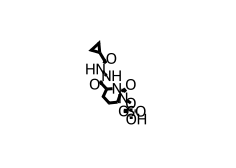 O=C(NNC(=O)C1CCC2CN1C(=O)N2OS(=O)(=O)O)C1CC1